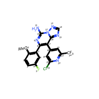 COc1ccc(F)cc1-c1nc(N)n2ncnc2c1-c1cc(Cl)nc(C(F)(F)F)c1